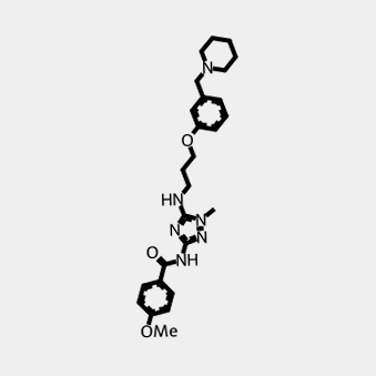 COc1ccc(C(=O)Nc2nc(NCCCOc3cccc(CN4CCCCC4)c3)n(C)n2)cc1